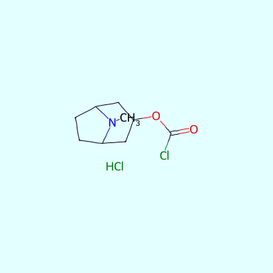 CN1C2CCC1CC(OC(=O)Cl)C2.Cl